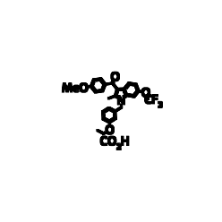 COc1ccc(C(=O)c2c(C)n(Cc3cccc(O[C@@H](C)C(=O)O)c3)c3cc(OC(F)(F)F)ccc23)cc1